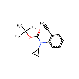 C#Cc1ccccc1N(C(=O)OC(C)(C)C)C1CC1